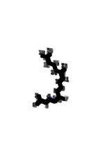 CC(C)=C/C=C/C(C)CCCC=C(C)CCC=C(C)C